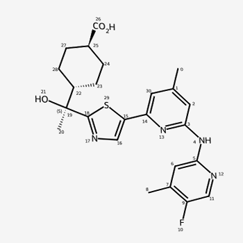 Cc1cc(Nc2cc(C)c(F)cn2)nc(-c2cnc([C@@](C)(O)[C@H]3CC[C@H](C(=O)O)CC3)s2)c1